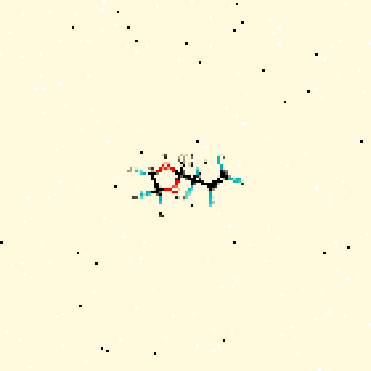 FC(F)=C(F)C(F)(F)C1(C(F)(F)F)OC(F)C(F)(F)O1